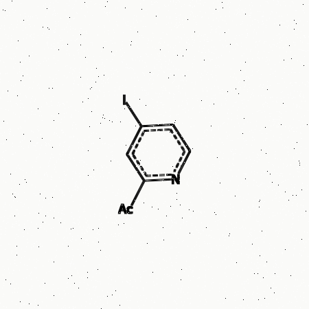 CC(=O)c1cc(I)ccn1